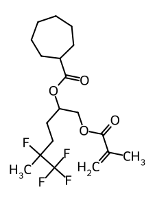 C=C(C)C(=O)OCC(CCC(C)(F)C(F)(F)F)OC(=O)C1CCCCCC1